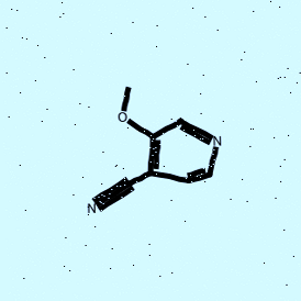 COc1[c]nccc1C#N